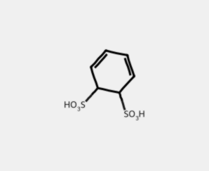 O=S(=O)(O)C1C=CC=CC1S(=O)(=O)O